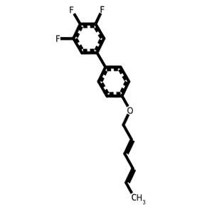 CC=CC=CCOc1ccc(-c2cc(F)c(F)c(F)c2)cc1